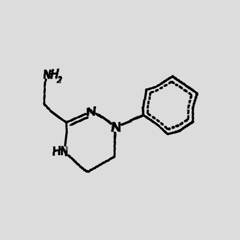 NCC1=NN(c2ccccc2)CCN1